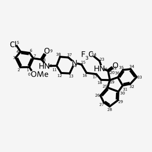 COc1ccc(Cl)cc1C(=O)NC1CCN(CCCCC2(C(=O)NCC(F)(F)F)c3ccccc3-c3ccccc32)CC1